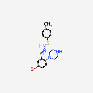 Cc1ccc(SN/N=C/c2cc(Br)ccc2N2CCNCC2)cc1